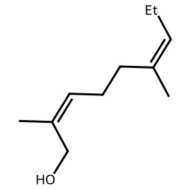 CCC=C(C)CCC=C(C)CO